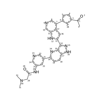 CC(=O)c1ccc(-c2cncc3[nH]c(-c4n[nH]c5ccc(-c6cncc(NC(=O)CN(C)C)c6)nc45)cc23)s1